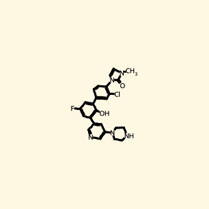 Cn1ccn(-c2ccc(-c3cc(F)cc(-c4cncc(N5CCNCC5)c4)c3O)cc2Cl)c1=O